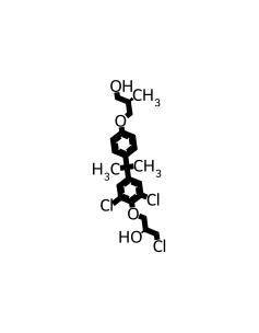 C[C@H](CO)COc1ccc(C(C)(C)c2cc(Cl)c(OC[C@@H](O)CCl)c(Cl)c2)cc1